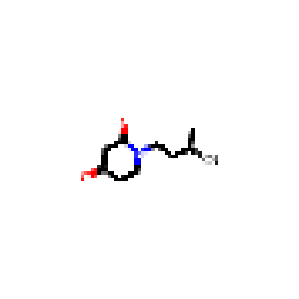 CC(C#N)CCN1CCC(=O)CC1=O